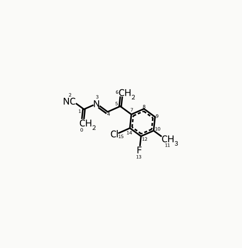 C=C(C#N)/N=C/C(=C)c1ccc(C)c(F)c1Cl